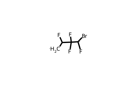 [CH2]C(F)C(F)(F)[C](F)Br